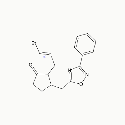 CC/C=C/CC1C(=O)CCC1Cc1nc(-c2ccccc2)no1